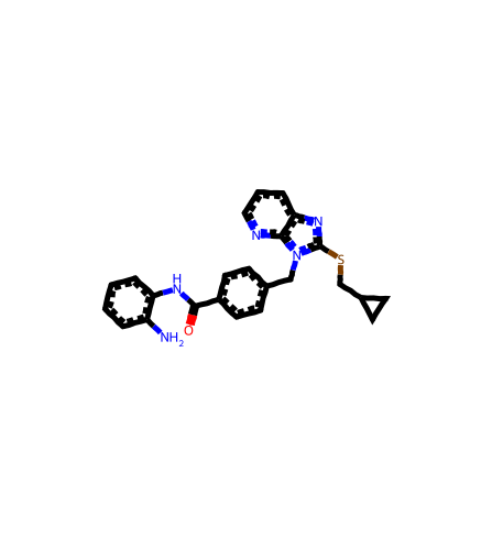 Nc1ccccc1NC(=O)c1ccc(Cn2c(SCC3CC3)nc3cccnc32)cc1